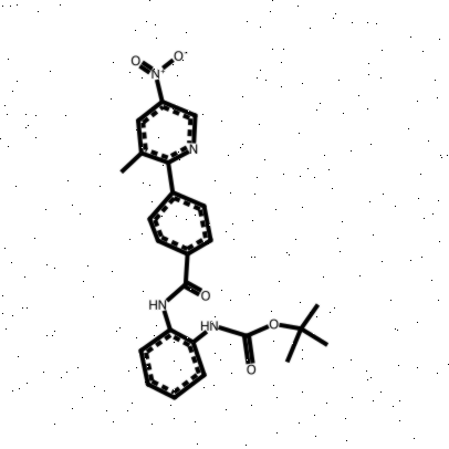 Cc1cc([N+](=O)[O-])cnc1-c1ccc(C(=O)Nc2ccccc2NC(=O)OC(C)(C)C)cc1